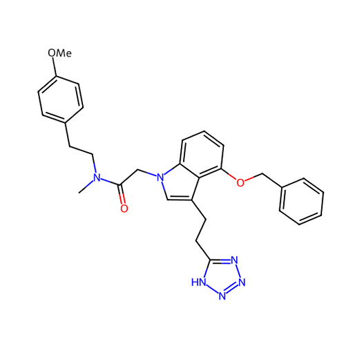 COc1ccc(CCN(C)C(=O)Cn2cc(CCc3nnn[nH]3)c3c(OCc4ccccc4)cccc32)cc1